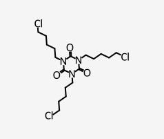 O=c1n(CCCCCCl)c(=O)n(CCCCCCl)c(=O)n1CCCCCCl